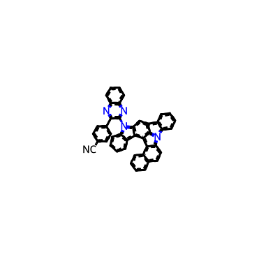 N#Cc1ccc(-c2nc3ccccc3nc2-n2c3ccccc3c3c4c5c6ccccc6ccc5n5c6ccccc6c(cc32)c45)cc1